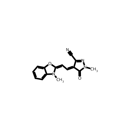 CN1N=C(C#N)/C(=C\C=C2\Oc3ccccc3N2C)C1=O